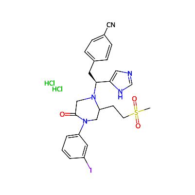 CS(=O)(=O)CCC1CN(c2cccc(I)c2)C(=O)CN1[C@@H](Cc1ccc(C#N)cc1)c1cnc[nH]1.Cl.Cl